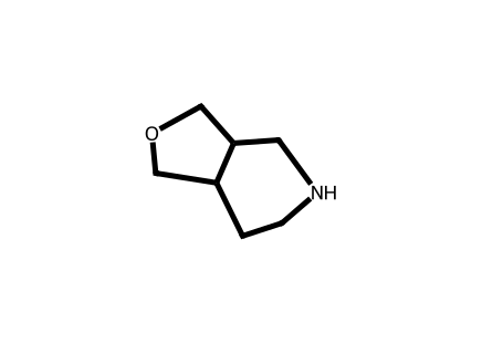 C1CC2COCC2CN1